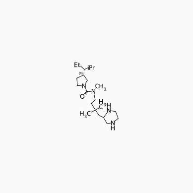 CCC(C(C)C)[C@H]1CCN(C(=O)N(C)CCC(C)(C)CC2CNCCN2)C1